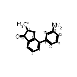 CC1Cc2c(cccc2-c2cccc(N)c2)C1=O